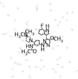 COc1cnc(Nc2ccc(N3CC[C@@H](N(C)C)C3)c(NC(C)=O)c2)nc1-c1c[nH]c2c(F)cccc12